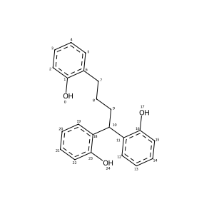 Oc1ccccc1CCCC(c1ccccc1O)c1ccccc1O